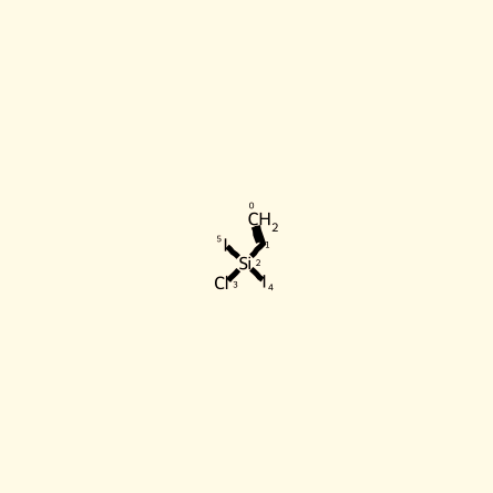 C=C[Si](Cl)(I)I